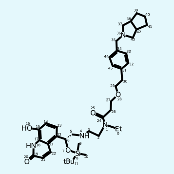 CCN(CCNC[C@H](O[Si](C)(C)C(C)(C)C)c1ccc(O)c2[nH]c(=O)ccc12)C(=O)CCOCCc1ccc(CN2CC3CCCC3C2)cc1